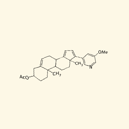 COc1cncc(C2=CC=C3C4CC=C5CC(OC(C)=O)CCC5(C)C4CCC23C)c1